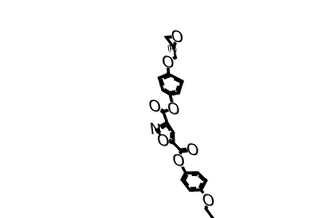 O=C(Oc1ccc(OC[C@H]2CO2)cc1)c1cc(C(=O)Oc2ccc(OCC3CO3)cc2)on1